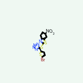 O=[N+]([O-])c1ccc2nc(SC3(c4ccc(Br)s4)N=NN=N3)sc2c1